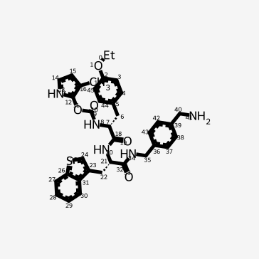 CCOc1ccc(C[C@@H](NC(=O)Oc2[nH]ccc2C)C(=O)N[C@@H](Cc2csc3ccccc23)C(=O)NCc2ccc(CN)cc2)cc1